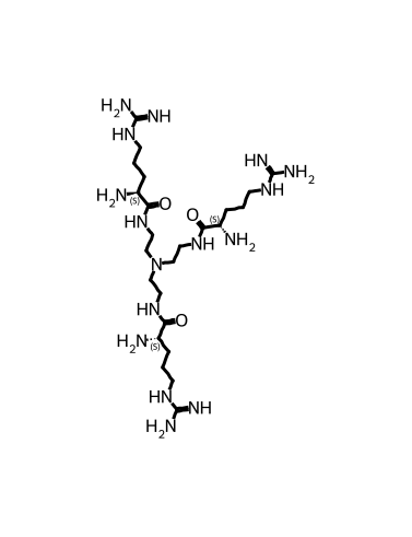 N=C(N)NCCC[C@H](N)C(=O)NCCN(CCNC(=O)[C@@H](N)CCCNC(=N)N)CCNC(=O)[C@@H](N)CCCNC(=N)N